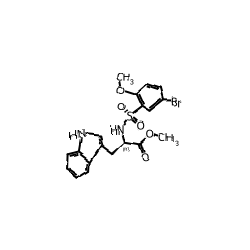 COC(=O)[C@@H](Cc1c[nH]c2ccccc12)NS(=O)(=O)c1cc(Br)ccc1OC